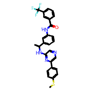 CSc1ccc(-c2cncc(NC(C)c3cccc(NC(=O)c4cccc(C(F)(F)F)c4)c3)n2)cc1